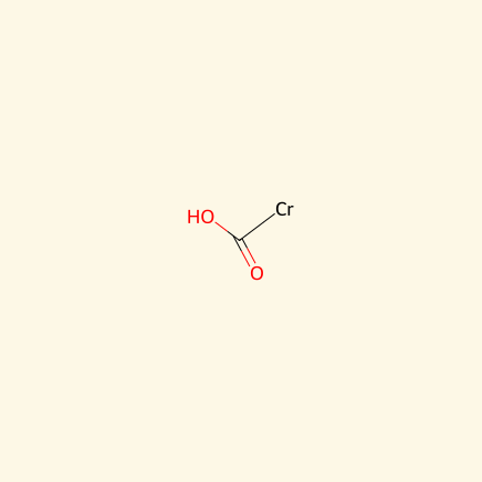 O=[C](O)[Cr]